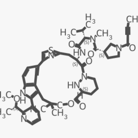 CC#CC(=O)N1CC[C@H](C(=O)N(C)[C@H](C(=O)N[C@H]2Cc3nc(cs3)-c3ccc4[nH]c(-c5cccnc5[C@H](C)OC)c(c4c3)CC(C)(C)COC(=O)[C@@H]3CCCN(N3)C2=O)C(C)C)C1